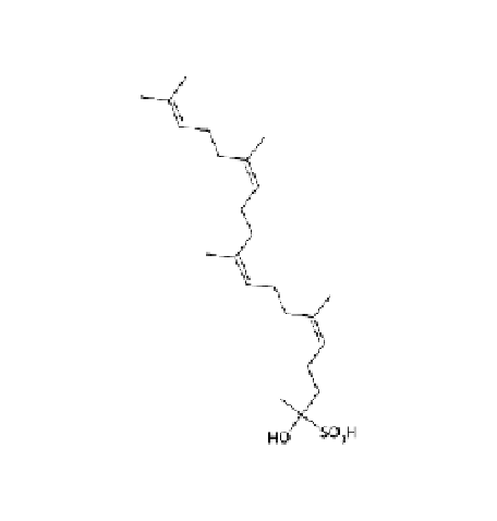 CC(C)=CCCC(C)=CCCC(C)=CCCC(C)=CCCC(C)(O)S(=O)(=O)O